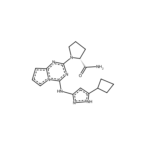 NC(=O)[C@H]1CCCN1c1nc(Nc2cc(C3CCC3)[nH]n2)n2cccc2n1